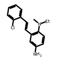 CCN(C)c1ccc(N)cc1/C=C/c1ccccc1Cl